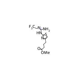 COC(=O)CCCc1csc(N/C(N)=N\CC(F)(F)F)n1